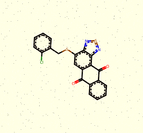 O=C1c2ccccc2C(=O)c2c1cc(SCc1ccccc1Cl)c1nsnc21